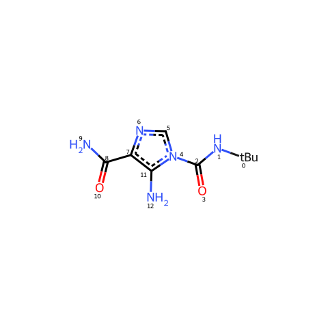 CC(C)(C)NC(=O)n1cnc(C(N)=O)c1N